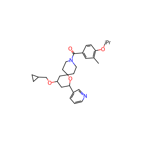 Cc1cc(C(=O)N2CCC3(CC2)CC(OCC2CC2)CC(c2cccnc2)O3)ccc1OC(C)C